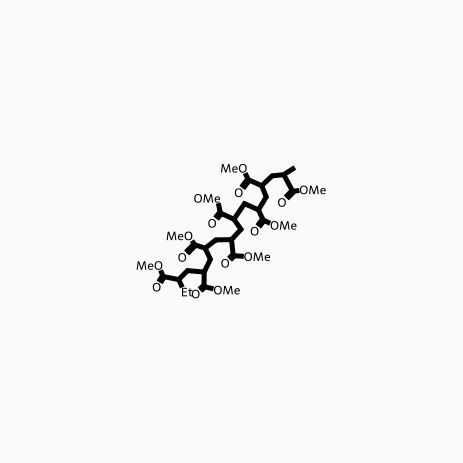 CCC(CC(CC(CC(CC(CC(CC(CC(C)C(=O)OC)C(=O)OC)C(=O)OC)C(=O)OC)C(=O)OC)C(=O)OC)C(=O)OC)C(=O)OC